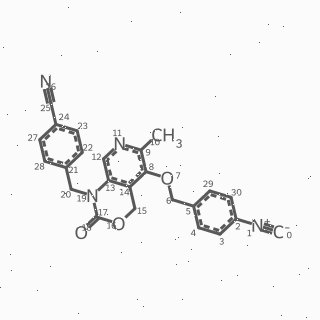 [C-]#[N+]c1ccc(COc2c(C)ncc3c2COC(=O)N3Cc2ccc(C#N)cc2)cc1